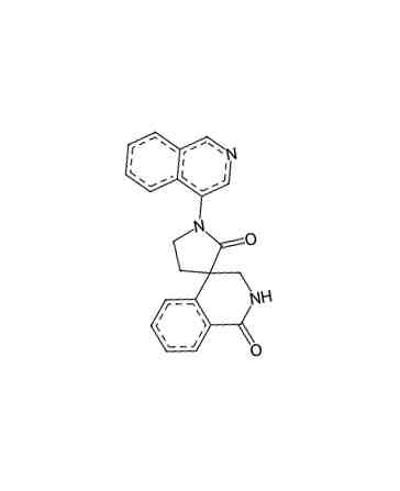 O=C1NCC2(CCN(c3cncc4ccccc34)C2=O)c2ccccc21